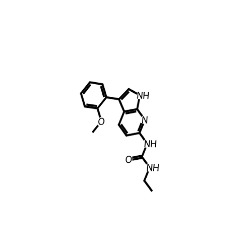 CCNC(=O)Nc1ccc2c(-c3ccccc3OC)c[nH]c2n1